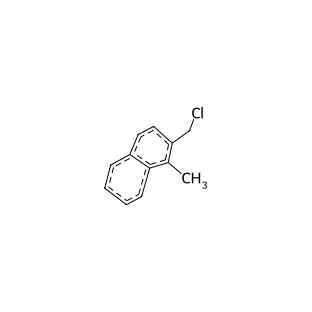 Cc1c(CCl)ccc2ccccc12